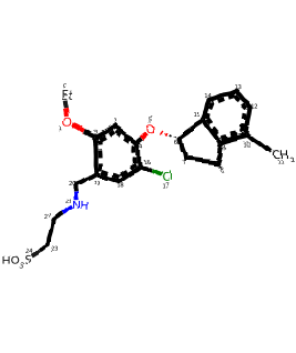 CCOc1cc(O[C@H]2CCc3c(C)cccc32)c(Cl)cc1CNCCS(=O)(=O)O